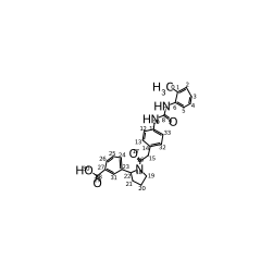 Cc1ccccc1NC(=O)Nc1ccc(CC(=O)N2CCCC2c2cccc(C(=O)O)c2)cc1